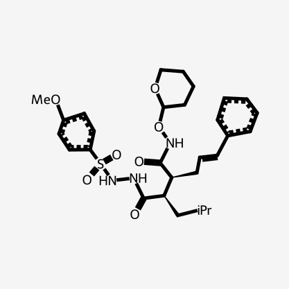 COc1ccc(S(=O)(=O)NNC(=O)[C@H](CC(C)C)[C@H](CC=Cc2ccccc2)C(=O)NOC2CCCCO2)cc1